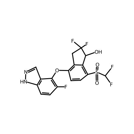 O=S(=O)(c1ccc(Oc2c(F)ccc3[nH]ncc23)c2c1C(O)C(F)(F)C2)C(F)F